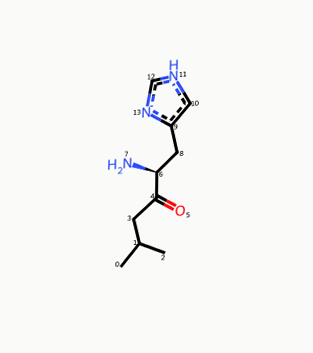 CC(C)CC(=O)[C@@H](N)Cc1c[nH]cn1